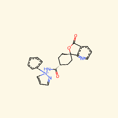 O=C1O[C@]2(CC[C@@H](C(=O)N[N+]3(c4ccccc4)C=CC=N3)CC2)c2ncccc21